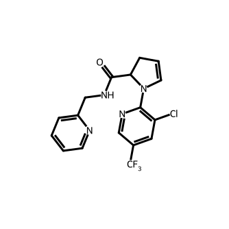 O=C(NCc1ccccn1)C1CC=CN1c1ncc(C(F)(F)F)cc1Cl